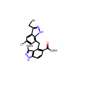 CNc1n[nH]c2ccc(C(=O)OC)c(Cc3cc(Cl)cc4c(CC(C)C)n[nH]c34)c12